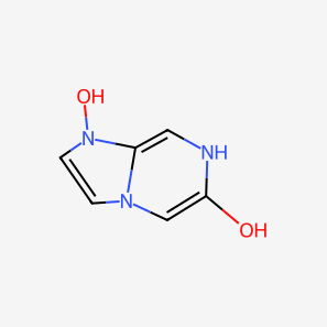 OC1=CN2C=CN(O)C2=CN1